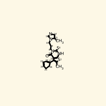 Cc1sc2[nH]c(=S)n(CCCN3C=NCC3C)c(=O)c2c1C1=CC=CCC1